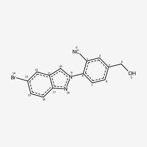 N#Cc1cc(CO)ccc1-n1cc2cc(Br)ccc2n1